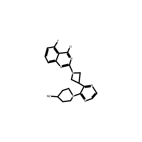 N#CC1CCN(c2nccnc2C2CN(c3nc(Cl)c4c(F)cccc4n3)C2)CC1